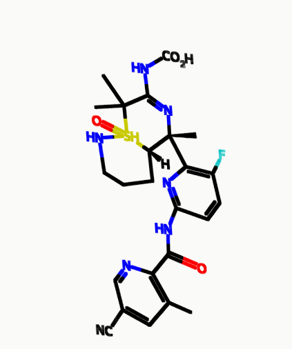 Cc1cc(C#N)cnc1C(=O)Nc1ccc(F)c([C@@]2(C)N=C(NC(=O)O)C(C)(C)[SH]3(=O)NCCC[C@@H]23)n1